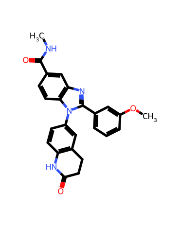 CNC(=O)c1ccc2c(c1)nc(-c1cccc(OC)c1)n2-c1ccc2c(c1)CCC(=O)N2